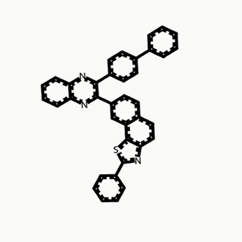 c1ccc(-c2ccc(-c3nc4ccccc4nc3-c3ccc4ccc5nc(-c6ccccc6)sc5c4c3)cc2)cc1